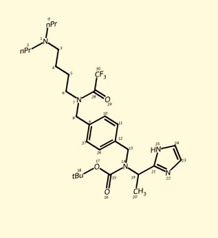 CCCN(CCC)CCCCN(Cc1ccc(CN(C(=O)OC(C)(C)C)C(C)c2ncc[nH]2)cc1)C(=O)C(F)(F)F